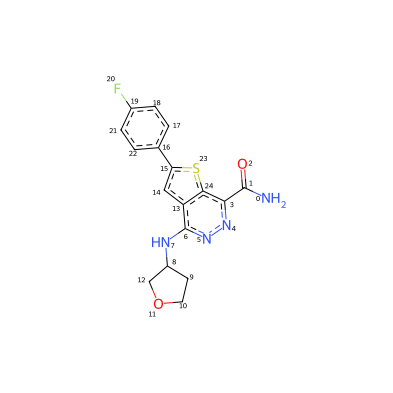 NC(=O)c1nnc(NC2CCOC2)c2cc(-c3ccc(F)cc3)sc12